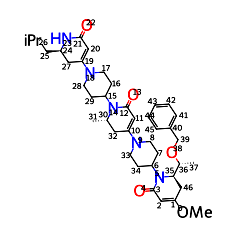 COC1=CC(=O)N(C2CCN(C3=CC(=O)N(C4CCN(C5=CC(=O)N[C@H](CC(C)C)C5)CC4)[C@@H](C)C3)CC2)[C@@H]([C@@H](C)OCc2ccccc2)C1